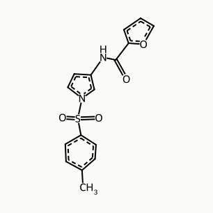 Cc1ccc(S(=O)(=O)n2ccc(NC(=O)c3ccco3)c2)cc1